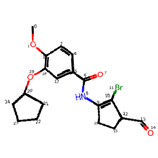 COc1ccc(C(=O)NC2=C(Br)C(C=O)CC2)cc1OC1CCCC1